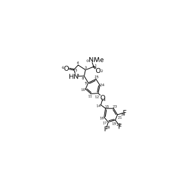 CNC(=O)C1CC(=O)NC1c1ccc(OCc2cc(F)c(F)c(F)c2)cc1